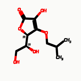 CC(C)COC1=C(O)C(=O)O[C@@H]1[C@@H](O)CO